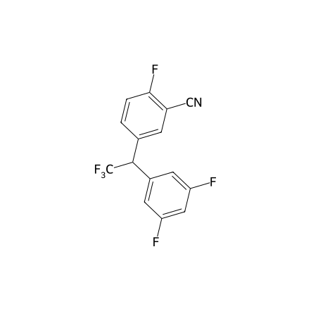 N#Cc1cc(C(c2cc(F)cc(F)c2)C(F)(F)F)ccc1F